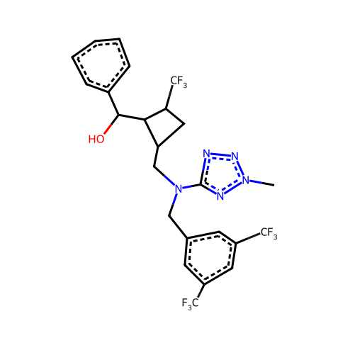 Cn1nnc(N(Cc2cc(C(F)(F)F)cc(C(F)(F)F)c2)CC2CC(C(F)(F)F)C2C(O)c2ccccc2)n1